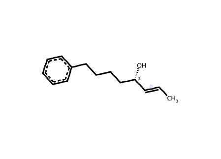 C/C=C/[C@@H](O)CCCCc1ccccc1